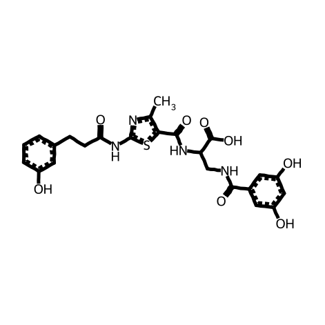 Cc1nc(NC(=O)CCc2cccc(O)c2)sc1C(=O)NC(CNC(=O)c1cc(O)cc(O)c1)C(=O)O